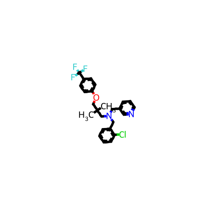 CC(C)(COc1ccc(C(F)(F)F)cc1)CN(Cc1cccnc1)Cc1ccccc1Cl